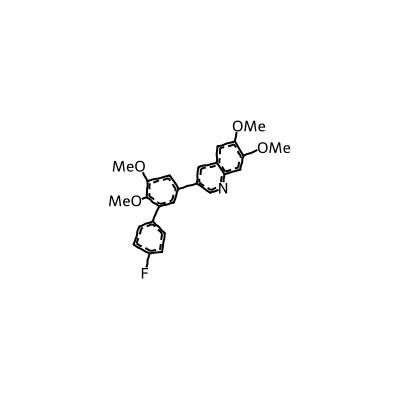 COc1cc2cc(-c3cc(OC)c(OC)c(-c4ccc(F)cc4)c3)cnc2cc1OC